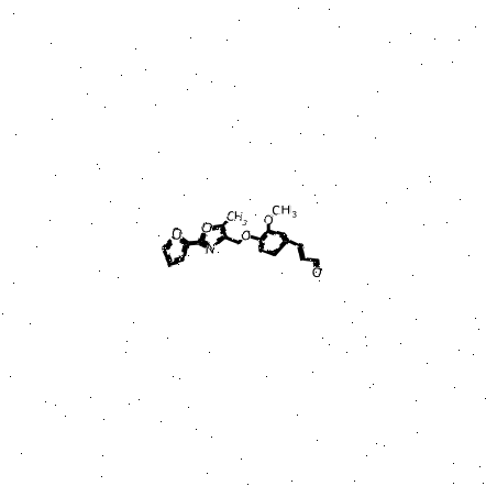 COc1cc(/C=C/C=O)ccc1OCc1nc(-c2ccco2)oc1C